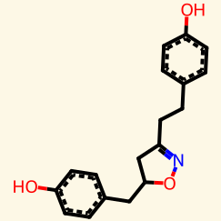 Oc1ccc(CCC2=NOC(Cc3ccc(O)cc3)C2)cc1